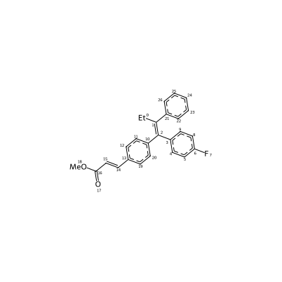 CCC(=C(c1ccc(F)cc1)c1ccc(C=CC(=O)OC)cc1)c1ccccc1